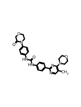 Cc1cnc(-c2ccc(NC(=O)Nc3ccc(N4CCOCC4=O)cc3)cc2)nc1N1CCOCC1